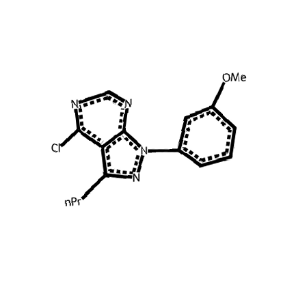 CCCc1nn(-c2cccc(OC)c2)c2ncnc(Cl)c12